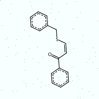 O=C(/C=C\SCc1ccccc1)c1ccccc1